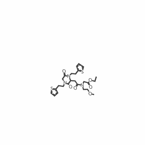 CCOC(=O)CN(CCOC)C(=O)CC1C(=O)N(CCc2cccs2)CC(=O)N1CCc1cccs1